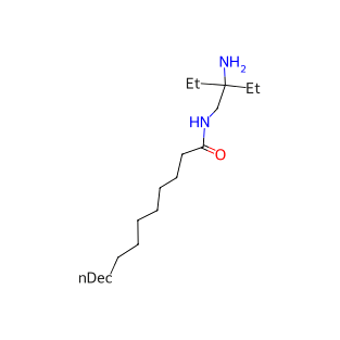 CCCCCCCCCCCCCCCCCC(=O)NCC(N)(CC)CC